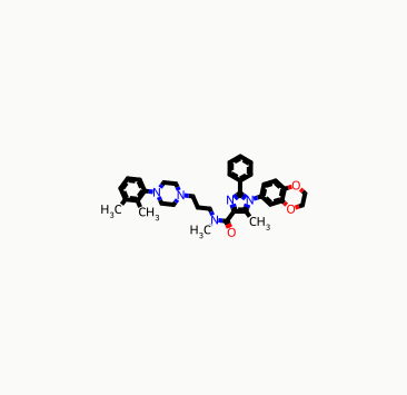 Cc1cccc(N2CCN(CCCN(C)C(=O)c3nc(-c4ccccc4)n(-c4ccc5c(c4)OCCO5)c3C)CC2)c1C